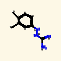 Cc1ccc(NNC(=N)N)cc1C